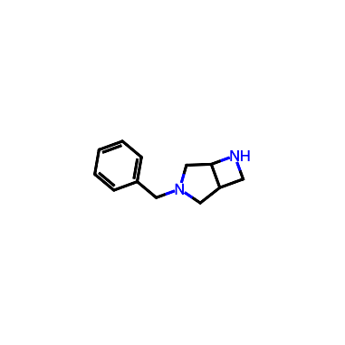 c1ccc(CN2CC3CNC3C2)cc1